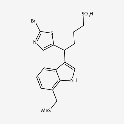 CSCc1cccc2c(C(CCCS(=O)(=O)O)c3cnc(Br)s3)c[nH]c12